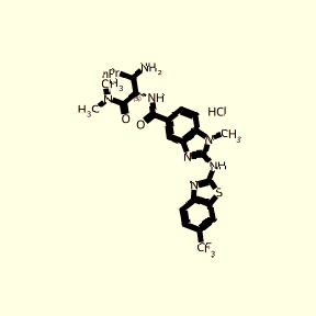 CCCC(N)[C@H](NC(=O)c1ccc2c(c1)nc(Nc1nc3ccc(C(F)(F)F)cc3s1)n2C)C(=O)N(C)C.Cl